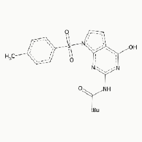 Cc1ccc(S(=O)(=O)n2ccc3c(O)nc(NC(=O)C(C)(C)C)nc32)cc1